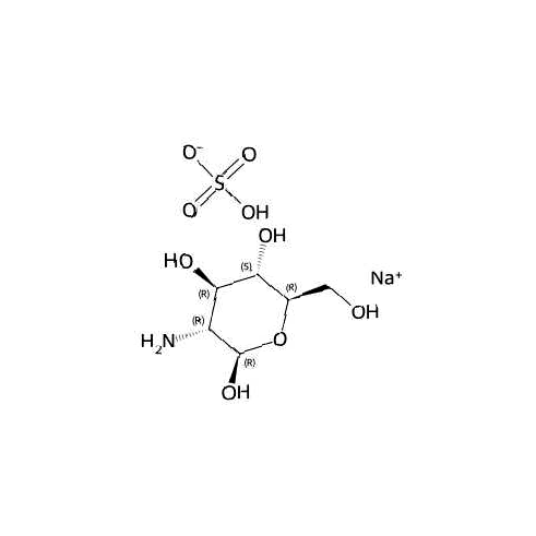 N[C@@H]1[C@@H](O)[C@H](O)[C@@H](CO)O[C@H]1O.O=S(=O)([O-])O.[Na+]